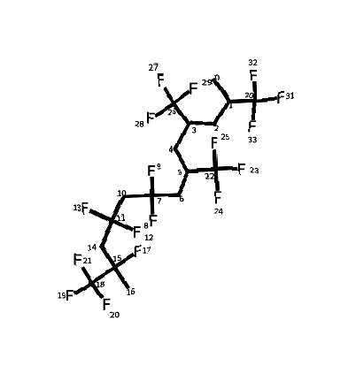 CC(CC(CC(CC(F)(F)CC(F)(F)CC(C)(F)C(F)(F)F)C(F)(F)F)C(F)(F)F)C(F)(F)F